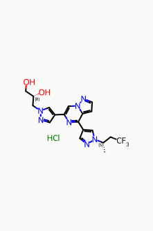 C[C@@H](CC(F)(F)F)n1cc(-c2nc(-c3cnn(C[C@@H](O)CO)c3)cn3nccc23)cn1.Cl